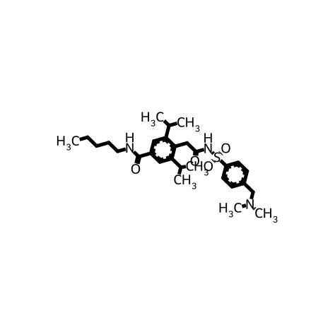 CCCCCNC(=O)c1cc(C(C)C)c(CC(=O)NS(=O)(=O)c2ccc(CN(C)C)cc2)c(C(C)C)c1